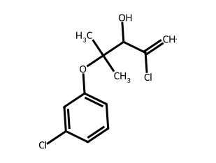 [CH]=C(Cl)C(O)C(C)(C)Oc1cccc(Cl)c1